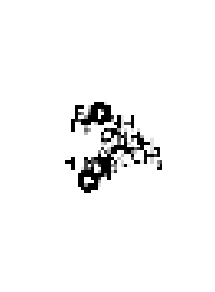 CC(C)(C)C(NC(=O)Nc1cccc(C(F)(F)F)c1)C(=O)NC(CN)Cc1ccccc1